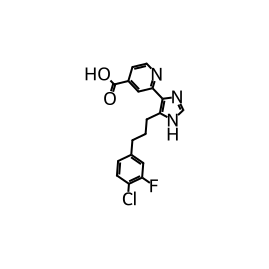 O=C(O)c1ccnc(-c2nc[nH]c2CCCc2ccc(Cl)c(F)c2)c1